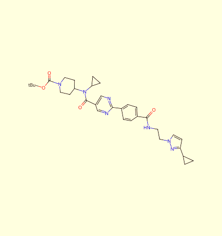 CC(C)(C)OC(=O)N1CCC(N(C(=O)c2cnc(-c3ccc(C(=O)NCCn4ccc(C5CC5)n4)cc3)nc2)C2CC2)CC1